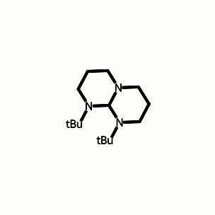 CC(C)(C)N1CCCN2CCCN(C(C)(C)C)C21